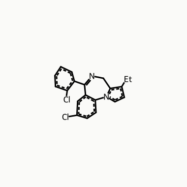 CCc1ccn2c1CN=C(c1ccccc1Cl)c1cc(Cl)ccc1-2